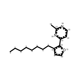 CCCCCCCCc1ccoc1-c1ccnc(C)n1